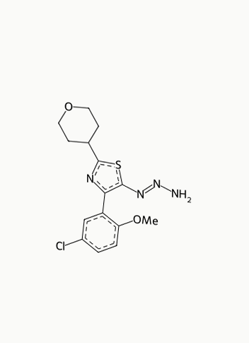 COc1ccc(Cl)cc1-c1nc(C2CCOCC2)sc1N=NN